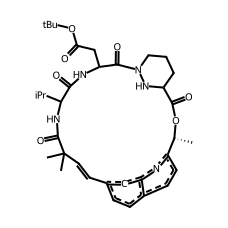 CC(C)C1NC(=O)C(C)(C)/C=C/c2ccc3ccc(nc3c2)[C@@H](C)OC(=O)C2CCCN(N2)C(=O)C(CC(=O)OC(C)(C)C)NC1=O